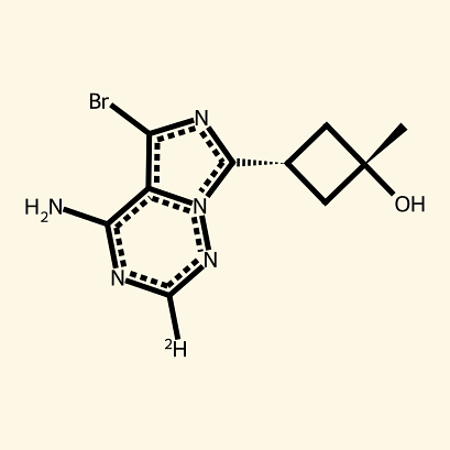 [2H]c1nc(N)c2c(Br)nc([C@H]3C[C@@](C)(O)C3)n2n1